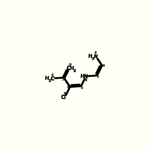 C=C(C)/C(Cl)=C\N/C=C\N